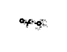 COc1cc(COc2ncc3c(n2)C3(C#N)c2nc3ccccc3s2)cc(OC)c1OC